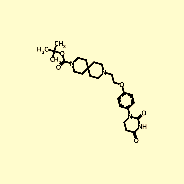 CC(C)(C)OC(=O)N1CCC2(CCN(CCOc3ccc(N4CCC(=O)NC4=O)cc3)CC2)CC1